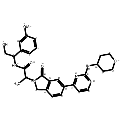 COc1cccc(C(CO)NC(=O)C(C)N2Cc3ccc(-c4ccnc(NC5CCOCC5)n4)cc3C2=O)c1